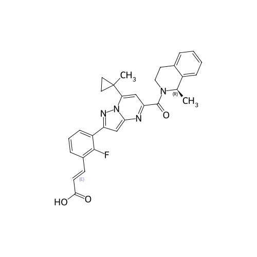 C[C@@H]1c2ccccc2CCN1C(=O)c1cc(C2(C)CC2)n2nc(-c3cccc(/C=C/C(=O)O)c3F)cc2n1